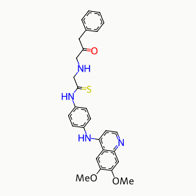 COc1cc2nccc(Nc3ccc(NC(=S)CNCC(=O)Cc4ccccc4)cc3)c2cc1OC